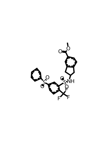 COC(=O)c1ccc2c(c1)CC(NS(=O)(=O)c1cc(S(=O)(=O)c3ccccc3)ccc1C(F)(F)F)C2